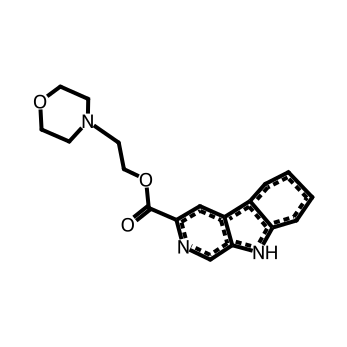 O=C(OCCN1CCOCC1)c1cc2c(cn1)[nH]c1ccccc12